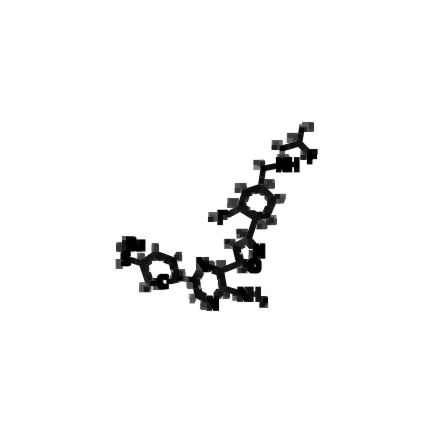 CCC(C)Sc1ccc(-c2cnc(N)c(-c3cc(-c4ccc(CNCC(C)F)cc4F)no3)n2)cc1